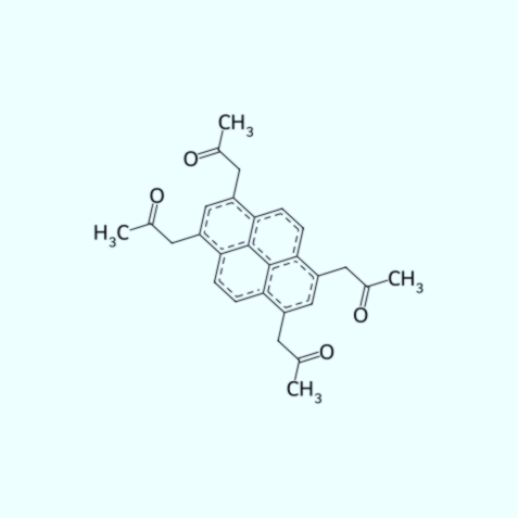 CC(=O)Cc1cc(CC(C)=O)c2ccc3c(CC(C)=O)cc(CC(C)=O)c4ccc1c2c43